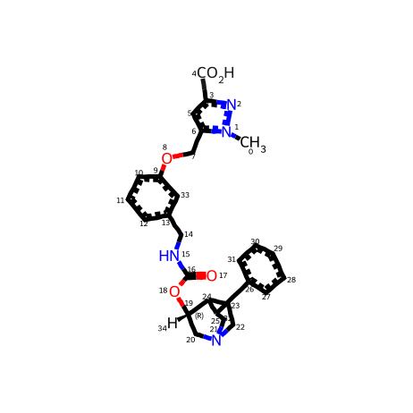 Cn1nc(C(=O)O)cc1COc1cccc(CNC(=O)O[C@H]2CN3CCC2C(c2ccccc2)C3)c1